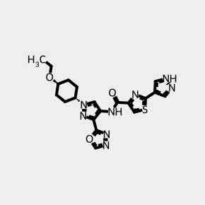 CCO[C@H]1CC[C@H](n2cc(NC(=O)c3csc(-c4cn[nH]c4)n3)c(-c3nnco3)n2)CC1